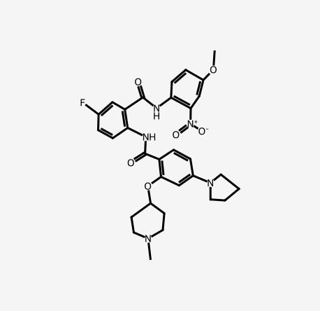 COc1ccc(NC(=O)c2cc(F)ccc2NC(=O)c2ccc(N3CCCC3)cc2OC2CCN(C)CC2)c([N+](=O)[O-])c1